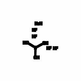 F.F.F.F.OB(O)O.[NaH]